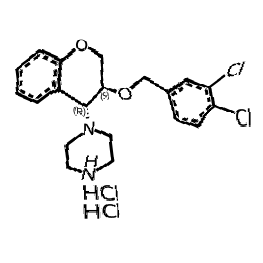 Cl.Cl.Clc1ccc(CO[C@@H]2COc3ccccc3[C@H]2N2CCNCC2)cc1Cl